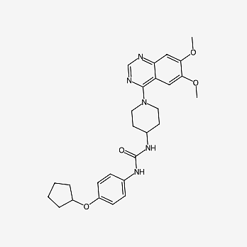 COc1cc2ncnc(N3CCC(NC(=O)Nc4ccc(OC5CCCC5)cc4)CC3)c2cc1OC